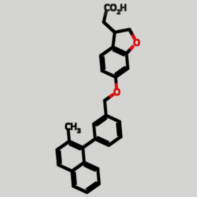 Cc1ccc2ccccc2c1-c1cccc(COc2ccc3c(c2)OCC3CC(=O)O)c1